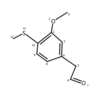 COc1cc(CC=O)ccc1SC